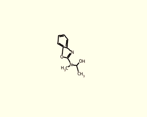 CC(O)N(C)c1nc2ccccc2o1